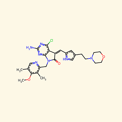 COc1c(C)cnc(CN2C(=O)/C(=C\c3cc(CCN4CCOCC4)c[nH]3)c3c(Cl)nc(N)nc32)c1C